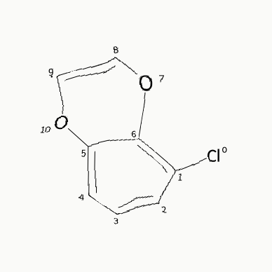 Clc1cccc2c1OC=[C]O2